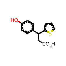 O=C(O)CC(c1ccc(O)cc1)c1cccs1